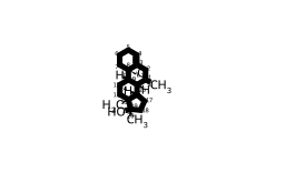 CC1CC2=CCCC[C@]2(C=O)[C@H]2CC[C@@]3(C)[C@@H](CC[C@]3(C)O)[C@H]12